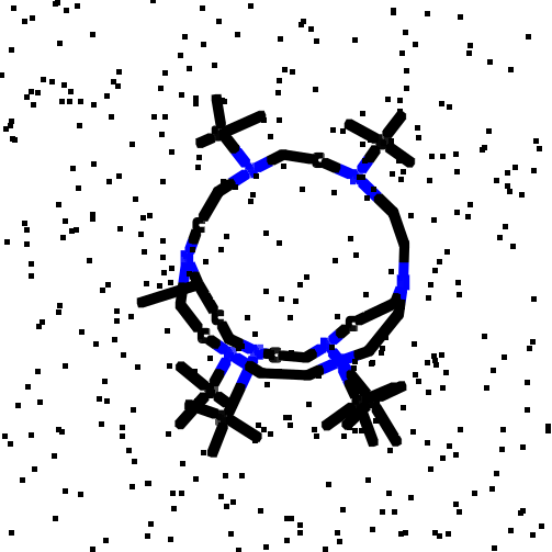 CC1CCN([Si](C)(C)C)CCN([Si](C)(C)C)CCN2CCN([Si](C)(C)C)CCN([Si](C)(C)C)CCN1CCN([Si](C)(C)C)CCN([Si](C)(C)C)CC2